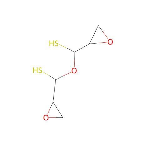 SC(OC(S)C1CO1)C1CO1